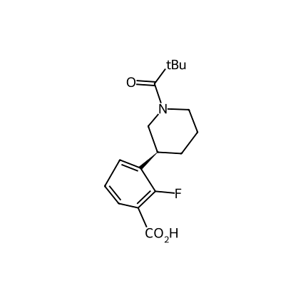 CC(C)(C)C(=O)N1CCC[C@@H](c2cccc(C(=O)O)c2F)C1